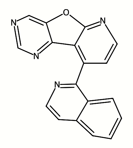 c1ccc2c(-c3ccnc4oc5cncnc5c34)nccc2c1